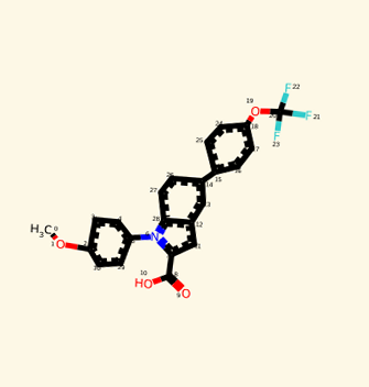 COc1ccc(-n2c(C(=O)O)cc3cc(-c4ccc(OC(F)(F)F)cc4)ccc32)cc1